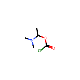 CC(OC(=O)Cl)N(C)C